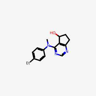 CCc1ccc(N(C)c2ncnc3c2C(O)CC3)cc1